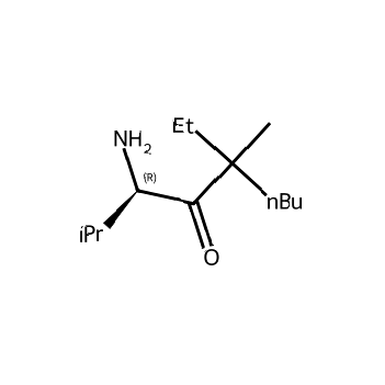 CCCCC(C)(CC)C(=O)[C@H](N)C(C)C